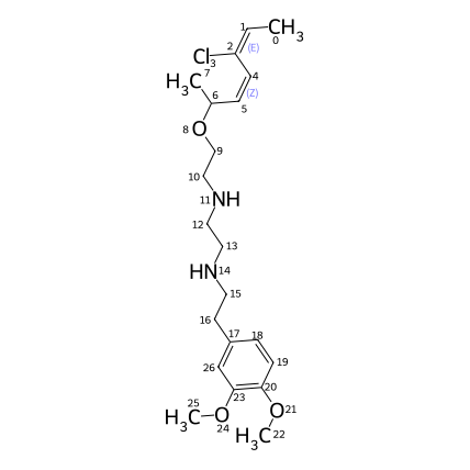 C/C=C(Cl)\C=C/C(C)OCCNCCNCCc1ccc(OC)c(OC)c1